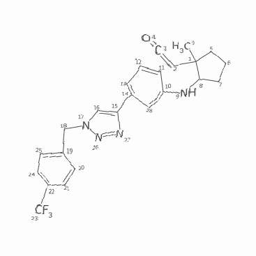 CC1(C=C=O)CCCC1Nc1cccc(-c2cn(Cc3ccc(C(F)(F)F)cc3)nn2)c1